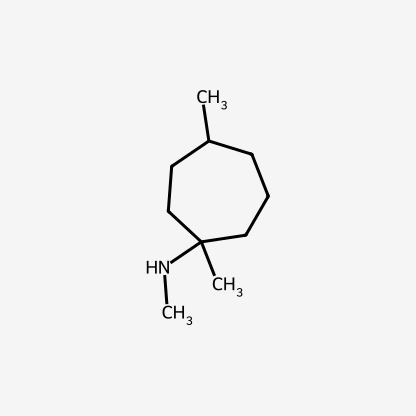 CNC1(C)CCCC(C)CC1